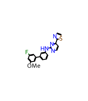 COc1cc(F)cc(-c2cccc(Nc3nccc(-c4nccs4)n3)c2)c1